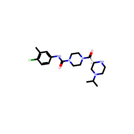 Cc1cc(NC(=O)N2CCN(C(=O)[C@H]3CN(C(C)C)CCN3)CC2)ccc1Cl